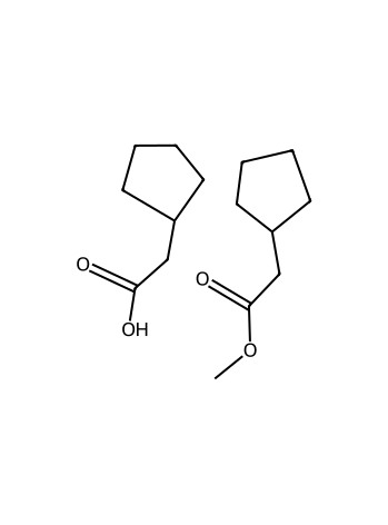 COC(=O)CC1CCCC1.O=C(O)CC1CCCC1